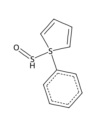 O=[SH]S1(c2ccccc2)C=CC=C1